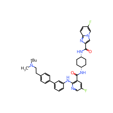 CN(CCc1ccc(-c2cccc(Nc3ncc(F)cc3C(=O)N[C@H]3CC[C@@H](NC(=O)c4cn5cc(F)ccc5n4)CC3)c2)cc1)C(C)(C)C